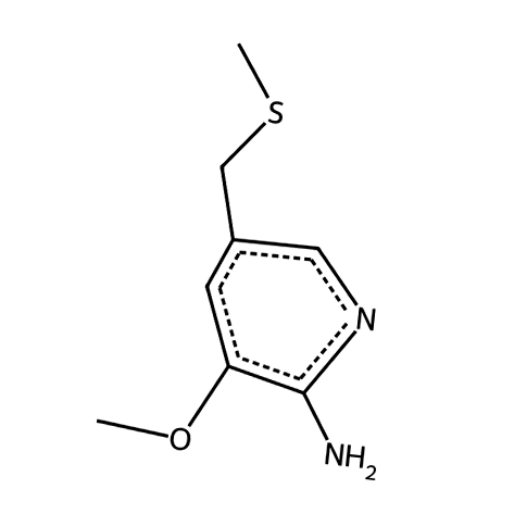 COc1cc(CSC)cnc1N